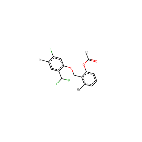 CCC(=O)Oc1cccc(CC)c1COc1cc(F)c(CC)cc1C(F)F